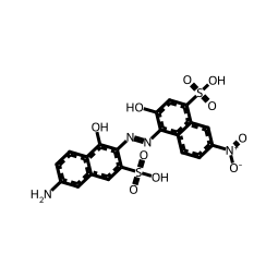 Nc1ccc2c(O)c(N=Nc3c(O)cc(S(=O)(=O)O)c4cc([N+](=O)[O-])ccc34)c(S(=O)(=O)O)cc2c1